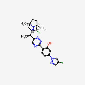 C=C(c1cnc(-c2ccc(-n3cc(F)cn3)cc2O)nn1)[C@H]1C[C@]2(C)CC[C@@](C)(N2)[C@H]1F